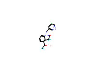 O=C1N(Cc2cncc(Cl)c2)c2cccc(C(O)C(F)(F)F)c2C1(F)F